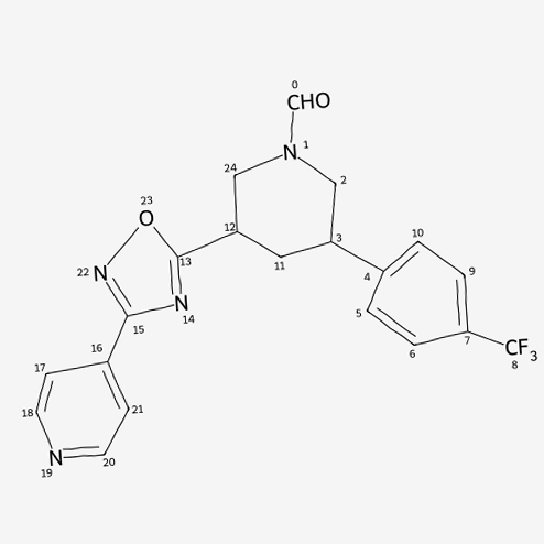 O=CN1CC(c2ccc(C(F)(F)F)cc2)CC(c2nc(-c3ccncc3)no2)C1